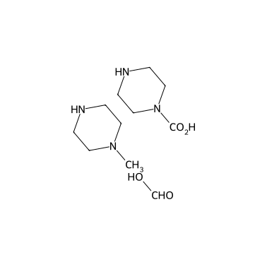 CN1CCNCC1.O=C(O)N1CCNCC1.O=CO